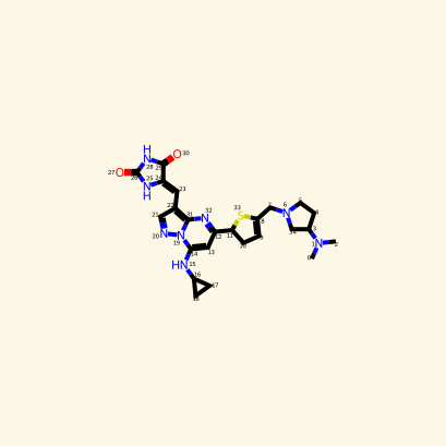 CN(C)C1CCN(CC2=CCC(c3cc(NC4CC4)n4ncc(/C=C5\NC(=O)NC5=O)c4n3)S2)C1